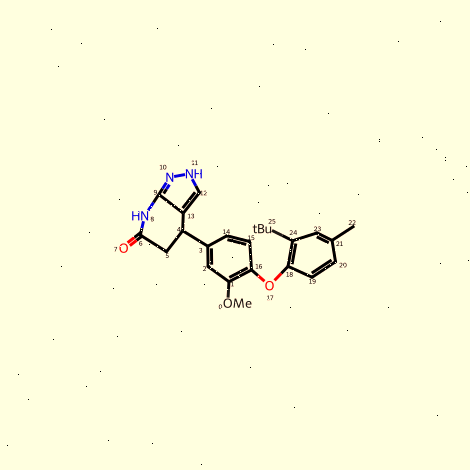 COc1cc(C2CC(=O)Nc3n[nH]cc32)ccc1Oc1ccc(C)cc1C(C)(C)C